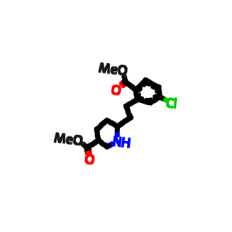 COC(=O)c1ccc(Cl)cc1CCC1CCC(C(=O)OC)CN1